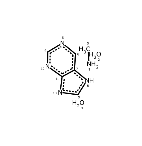 CN.O.O.c1ncc2[nH]cnc2n1